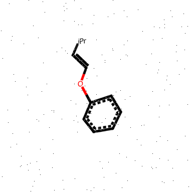 CC(C)C=COc1[c]cccc1